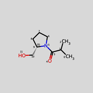 CC(C)C(=O)N1CCC[C@H]1CO